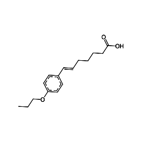 CCCOc1ccc(C=CCCCCC(=O)O)cc1